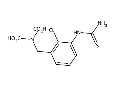 NC(=S)Nc1cccc(CN(C(=O)O)C(=O)O)c1Cl